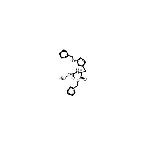 CC(C)(C)OC(=O)N[C@@H](Cc1cccc(OCc2ccccc2)c1)C(=O)OCc1ccccc1